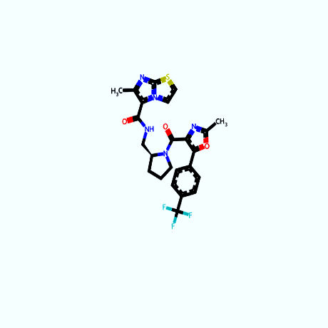 Cc1nc(C(=O)N2CCC[C@H]2CNC(=O)c2c(C)nc3sccn23)c(-c2ccc(C(F)(F)F)cc2)o1